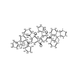 CC1(C)c2ccccc2-c2cccc(N(c3ccccc3)c3cc4c(c5c3oc3ccccc35)-c3c(cc(N(c5ccccc5)c5cccc6c5C(C)(C)c5ccccc5-6)c5c3oc3ccccc35)C4=O)c21